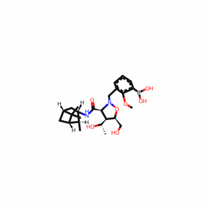 COc1c(CN2O[C@@H](CO)[C@@H]([C@H](C)O)[C@H]2C(=O)N[C@H]2C[C@H]3C[C@@H]([C@@H]2C)C3(C)C)cccc1B(O)O